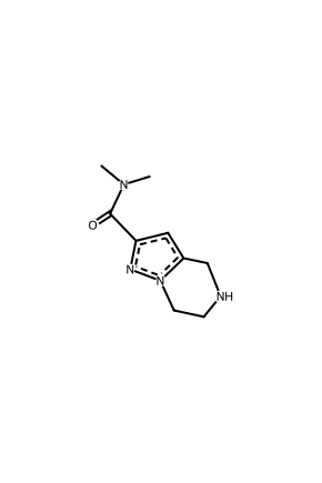 CN(C)C(=O)c1cc2n(n1)CCNC2